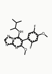 COc1cc(F)c(-c2c(OC)nc3ncnn3c2NC(C)C(C)C)cc1F